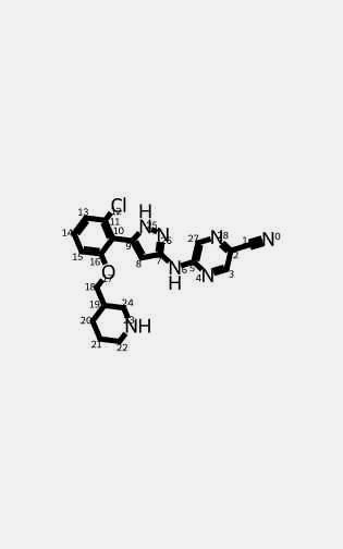 N#Cc1cnc(Nc2cc(-c3c(Cl)cccc3OCC3CCCNC3)[nH]n2)cn1